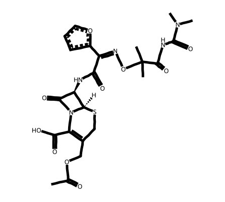 CC(=O)OCC1=C(C(=O)O)N2C(=O)[C@@H](NC(=O)/C(=N\OC(C)(C)C(=O)NC(=O)N(C)C)c3ccco3)[C@H]2SC1